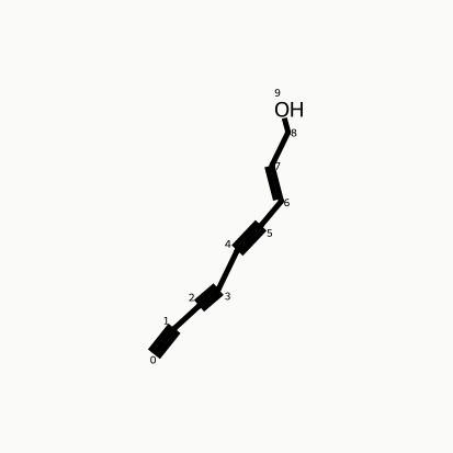 C#CC#CC#CC=CCO